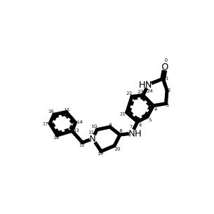 O=C1CCc2cc(NC3CCN(Cc4ccccc4)CC3)ccc2N1